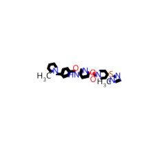 CC1CCCCN1Cc1ccc(C(=O)Nc2ccc(OC(=O)N3CCC(Sc4nccn4C)CC3)nc2)cc1